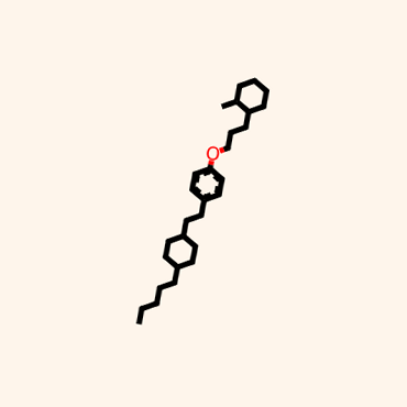 CCCCCC1CCC(CCc2ccc(OCCCC3CCCCC3C)cc2)CC1